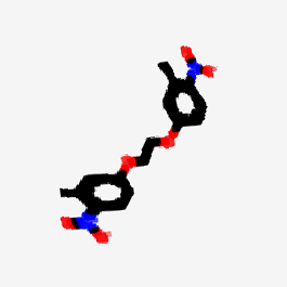 Cc1cc(OCCOc2ccc([N+](=O)[O-])c(C)c2)ccc1[N+](=O)[O-]